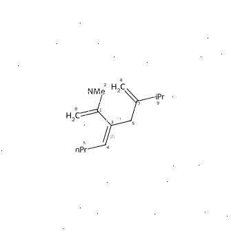 C=C(NC)/C(=C\CCC)CC(=C)C(C)C